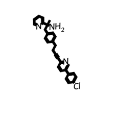 CC(N)(Cc1ccc(CCC#Cc2ccc(-c3ccc(Cl)cc3)cn2)cc1)c1ccccn1